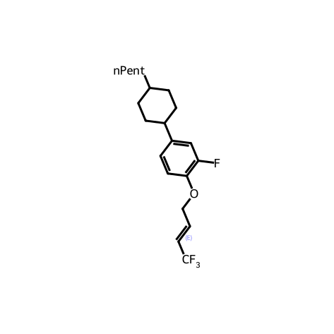 CCCCCC1CCC(c2ccc(OC/C=C/C(F)(F)F)c(F)c2)CC1